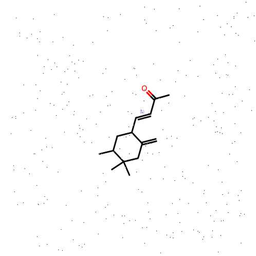 C=C1CC(C)(C)C(C)CC1/C=C/C(C)=O